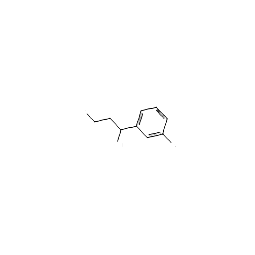 OCCC(O)c1cccc(Br)c1